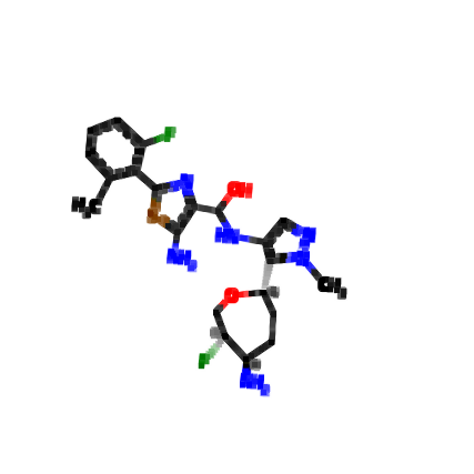 Cc1cccc(F)c1-c1nc(C(O)Nc2cnn(C)c2[C@@H]2CC[C@@H](N)[C@H](F)CO2)c(N)s1